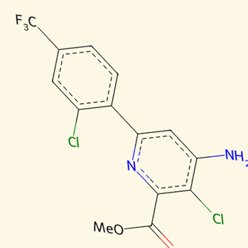 COC(=O)c1nc(-c2ccc(C(F)(F)F)cc2Cl)cc(N)c1Cl